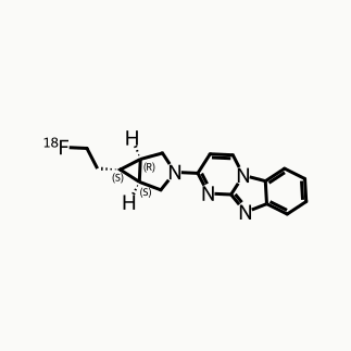 [18F]CC[C@@H]1[C@H]2CN(c3ccn4c(n3)nc3ccccc34)C[C@@H]12